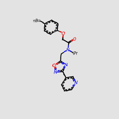 CCCCc1ccc(OCC(=O)N(Cc2nc(-c3cccnc3)no2)C(C)C)cc1